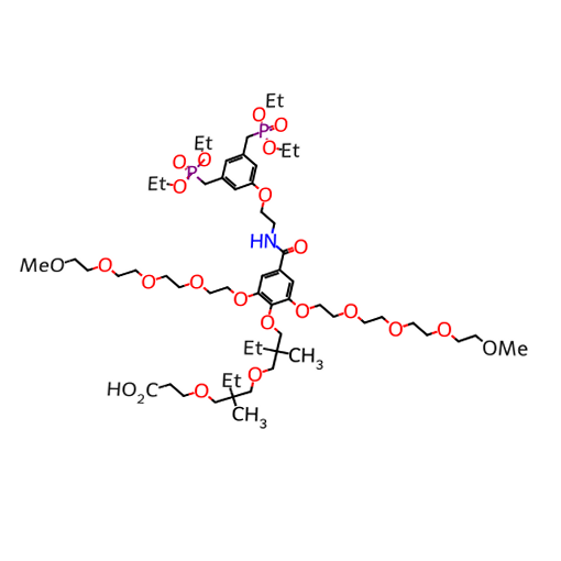 CCOP(=O)(Cc1cc(CP(=O)(OCC)OCC)cc(OCCNC(=O)c2cc(OCCOCCOCCOCCOC)c(OCC(C)(CC)COCC(C)(CC)COCCC(=O)O)c(OCCOCCOCCOCCOC)c2)c1)OCC